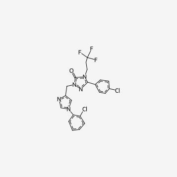 O=c1n(Cc2cn(-c3ccccc3Cl)cn2)nc(-c2ccc(Cl)cc2)n1CCC(F)(F)F